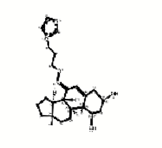 C[C@@]12CCC[C@H]1[C@@H]1C(=NOCCCn3ccnc3)C=C3C[C@@H](O)C[C@@H](O)[C@]3(C)[C@H]1CC2